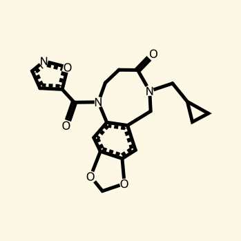 O=C1CCN(C(=O)c2ccno2)c2cc3c(cc2CN1CC1CC1)OCO3